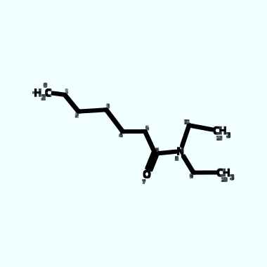 [CH2]CCCCCC(=O)N(CC)CC